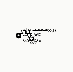 CCOC(=O)CCCCCCCCO[C@@H]1O[C@@H]2COC(c3ccccc3)O[C@H]2[C@H](O[C@@H]2O[C@H](COC(C)=O)[C@H](OC(C)=O)[C@H](OC(C)=O)[C@H]2OC(C)=O)[C@H]1NC(C)=O